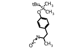 CC(Cc1ccc(O[Si](C)(C)C(C)(C)C)cc1)N=C=O